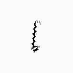 [CH2]CCCCCCCCCc1ncc[nH]1